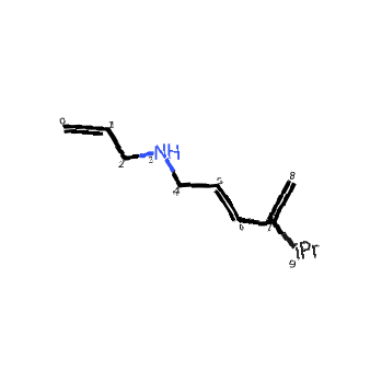 C=CCNC/C=C/C(=C)C(C)C